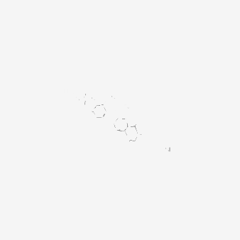 CCN(C)S(=O)(=O)Nc1ccc(F)c(Oc2ccc3ncn([C@H]4COC5(CCNCC5)C4)c(=O)c3c2F)c1C#N.Cl